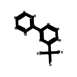 FC(F)(F)c1cc(-c2ncccn2)ccn1